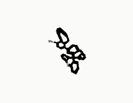 Brc1ccc(-c2ccc3c(c2)C2(c4ccccc4Sc4ccccc42)c2ccccc2-3)c2ccccc12